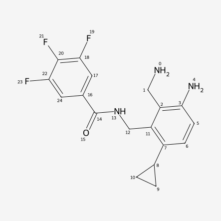 NCc1c(N)ccc(C2CC2)c1CNC(=O)c1cc(F)c(F)c(F)c1